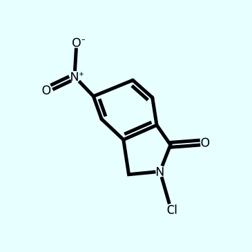 O=C1c2ccc([N+](=O)[O-])cc2CN1Cl